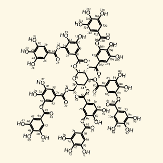 O=C(C[C@H]1[C@H](OC(=O)c2cc(O)c(O)c(OC(=O)c3cc(O)c(O)c(O)c3)c2)O[C@H](COC(=O)c2cc(O)c(O)c(OC(=O)c3cc(O)c(O)c(O)c3)c2)[C@@H](OC(=O)c2cc(O)c(O)c(OC(=O)c3cc(O)c(O)c(O)c3)c2)[C@@H]1OC(=O)c1cc(O)c(O)c(OC(=O)c2cc(O)c(O)c(O)c2)c1)c1cc(O)c(O)c(OC(=O)c2cc(O)c(O)c(O)c2)c1